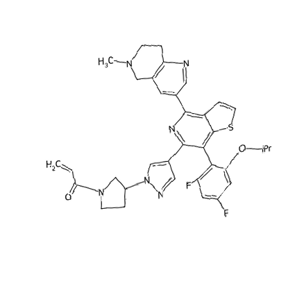 C=CC(=O)N1CCC(n2cc(-c3nc(-c4cnc5c(c4)CN(C)CC5)c4ccsc4c3-c3c(F)cc(F)cc3OC(C)C)cn2)C1